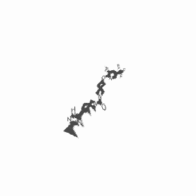 O=C(N1CC2(CC(Oc3ncc(C(F)(F)F)cc3F)C2)C1)N1CC2(CC(c3nc(C4CC4)n[nH]3)C2)C1